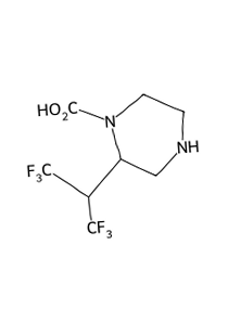 O=C(O)N1CCNCC1C(C(F)(F)F)C(F)(F)F